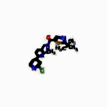 Cc1nc(-c2ccnc(Cl)c2)ccc1CNC(=O)c1cnc(C(C)(C)C)s1